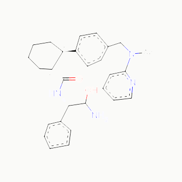 CC(=O)N(Cc1ccc([C@@H]2CCCC[C@H]2C(=O)N[C@@H](c2ccccc2)C(N)O)cc1)c1ccccn1